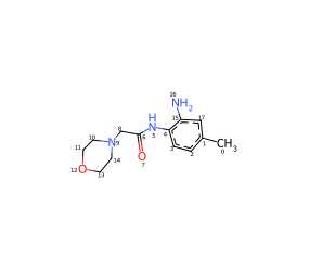 Cc1ccc(NC(=O)CN2CCOCC2)c(N)c1